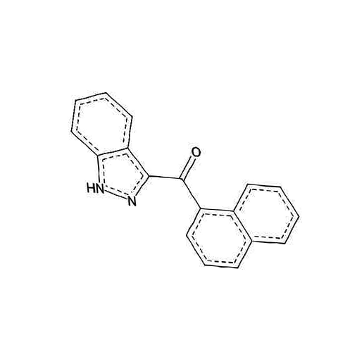 O=C(c1cccc2ccccc12)c1n[nH]c2ccccc12